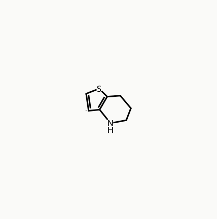 [c]1csc2c1NCCC2